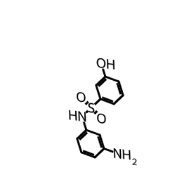 Nc1cccc(NS(=O)(=O)c2cccc(O)c2)c1